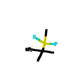 CCCC(C)(C)S(C)(F)F